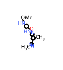 COCCNC1CCC(C(=O)Nc2cc3cc(-c4cnn(C)c4)cc(C)c3cn2)CC1